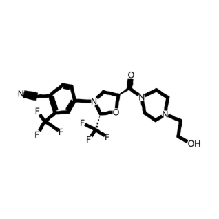 N#Cc1ccc(N2C[C@@H](C(=O)N3CCN(CCO)CC3)O[C@@H]2C(F)(F)F)cc1C(F)(F)F